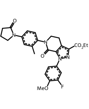 CCOC(=O)c1nn(-c2ccc(OC)c(F)c2)c2c1CCN(c1ccc(N3CCCC3=O)cc1C)C2=O